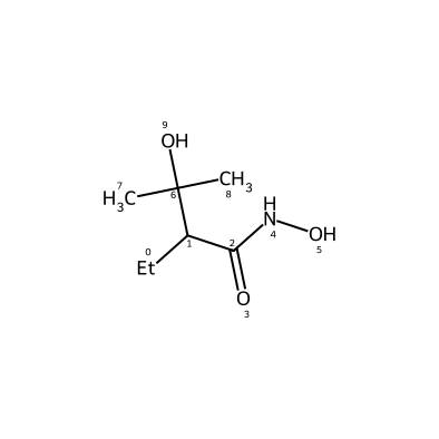 CCC(C(=O)NO)C(C)(C)O